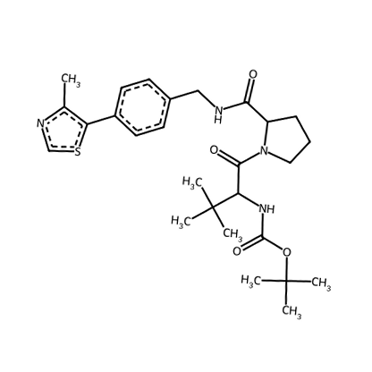 Cc1ncsc1-c1ccc(CNC(=O)C2CCCN2C(=O)C(NC(=O)OC(C)(C)C)C(C)(C)C)cc1